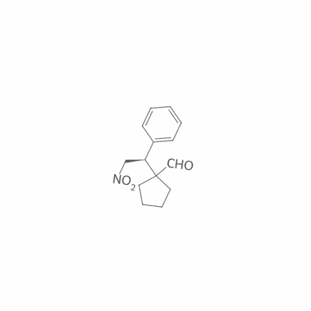 O=CC1([C@@H](C[N+](=O)[O-])c2ccccc2)CCCC1